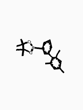 Cc1cc(C)c(-c2cccc(B3OC(C)(C)C(C)(C)O3)c2)c(C)c1